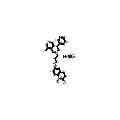 Cc1cnccc1CN(CCCOc1ccc2c(c1)CCC(=O)N2C)CCc1cccnc1.Cl.Cl.Cl